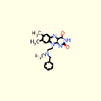 Cc1cc2nc3c(=O)[nH]c(=O)nc-3n(CCN(C)Cc3ccccc3)c2cc1C